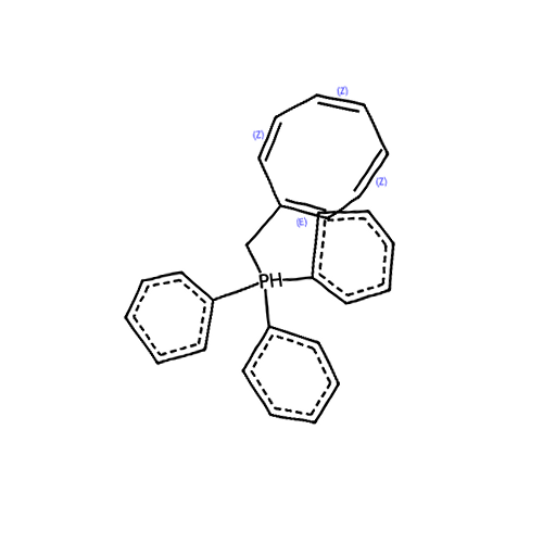 C1=C\C=C/C(C[PH](c2ccccc2)(c2ccccc2)c2ccccc2)=C\C=C/1